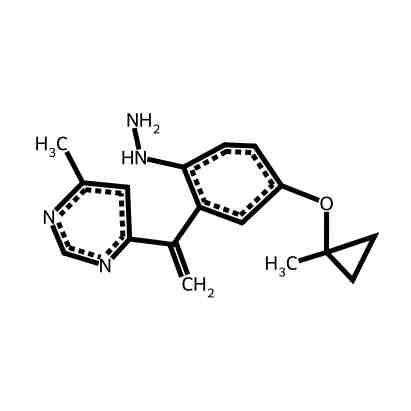 C=C(c1cc(C)ncn1)c1cc(OC2(C)CC2)ccc1NN